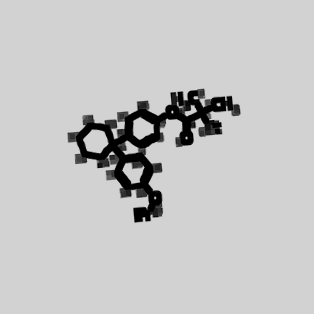 CCC(C)(C)C(=O)Oc1ccc(C2(c3ccc(OC(C)C)cc3)CCCCC2)cc1